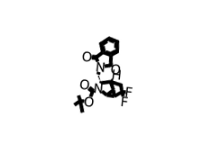 CC(C)(C)OC(=O)N1C2C3C2C(F)(F)C[C@H]3[C@H]1CN1C(=O)c2ccccc2C1=O